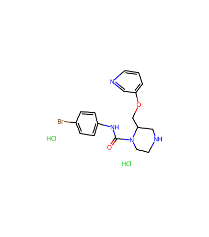 Cl.Cl.O=C(Nc1ccc(Br)cc1)N1CCNCC1COc1cccnc1